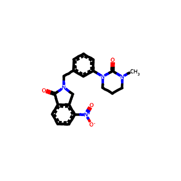 CN1CCCN(c2cccc(CN3Cc4c(cccc4[N+](=O)[O-])C3=O)c2)C1=O